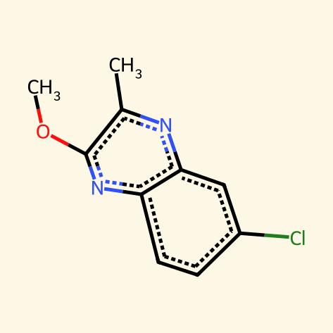 COc1nc2ccc(Cl)cc2nc1C